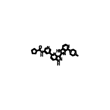 CN1CCN(c2nccc3[nH]c(-c4n[nH]c5ccc(-c6cncc(NC(=O)C7CCCC7)c6)nc45)nc23)CC1